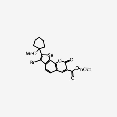 CCCCCCCCOC(=O)c1cc2ccc3c(Br)c(C4(OC)CCCCC4)[se]c3c2oc1=O